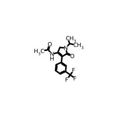 CC(=O)NC1=C(c2cccc(C(F)(F)F)c2)C(=O)N(C(C)C)C1